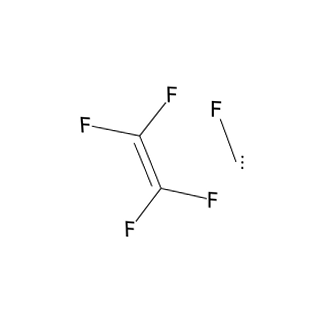 FC(F)=C(F)F.[C]F